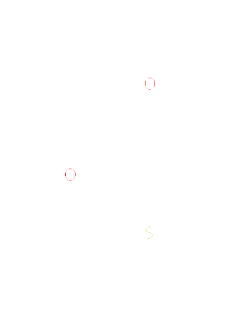 C1CSCC2COCC2O1